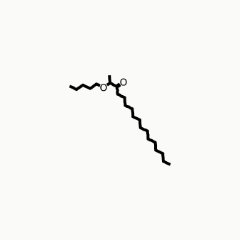 CCCCCCCCCCCCCCC(=O)C(C)OCCCCC